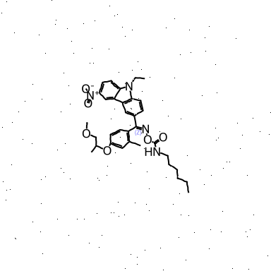 CCCCCCNC(=O)O/N=C(/c1ccc2c(c1)c1cc([N+](=O)[O-])ccc1n2CC)c1ccc(OC(C)COC)cc1C